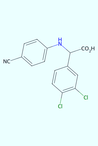 N#Cc1ccc(NC(C(=O)O)c2ccc(Cl)c(Cl)c2)cc1